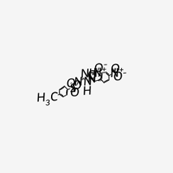 Cc1ccc(S(=O)(=O)ON=C(N)NN=Cc2ccc([N+](=O)[O-])cc2[N+](=O)[O-])cc1